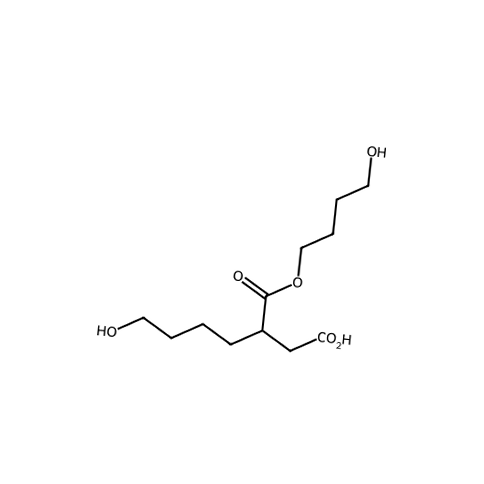 O=C(O)CC(CCCCO)C(=O)OCCCCO